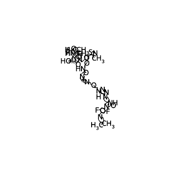 Cc1ncsc1-c1ccc(CNC(=O)[C@@H]2C[C@@H](O)CN2C(=O)[C@@H](NC(=O)C2(F)CC2)C(C)(C)C)c(OCCNC(=O)CN2CC[C@@]3(CCN(CCOCCNc4cc(N5CCC6(CC5)CN(c5cc(F)c(CN7CCC(C)(C)CC7)cc5F)CC(=O)N6)ncn4)C3)C2)c1